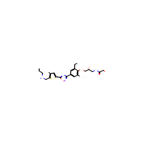 CCCN(C)Cc1sc(-c2nc(-c3cc(C)c(OC[C@@H](O)CNC(=O)CO)c(CC)c3)no2)cc1C